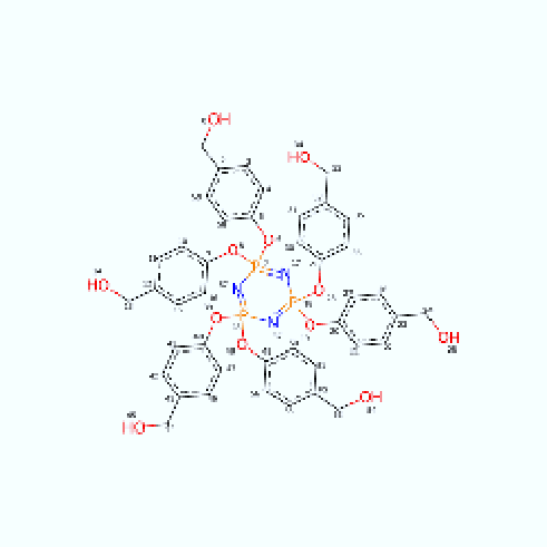 OCc1ccc(OP2(Oc3ccc(CO)cc3)=NP(Oc3ccc(CO)cc3)(Oc3ccc(CO)cc3)=NP(Oc3ccc(CO)cc3)(Oc3ccc(CO)cc3)=N2)cc1